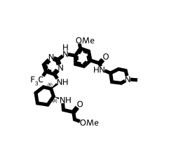 COCC(=O)CN[C@@H]1CCCC[C@H]1Nc1nc(Nc2ccc(C(=O)NC3CCN(C)CC3)cc2OC)ncc1C(F)(F)F